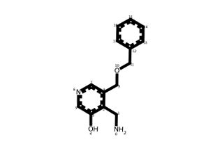 NCc1c(O)cncc1COCc1ccccc1